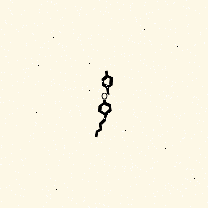 CCCC=Cc1ccc(OCc2ccc(C)cc2)cc1